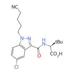 CC(C)(C)[C@H](NC(=O)c1nn(CCCCC#N)c2ccc(Cl)cc12)C(=O)O